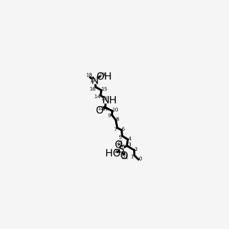 CCCC(CCCCCCCC(=O)NCCCN(C)O)S(=O)(=O)O